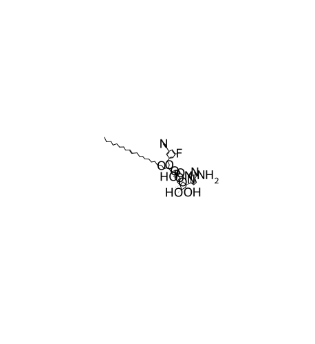 CCCCCCCC/C=C/CCCCCCCCOC[C@H](COP(=O)(O)OC[C@@]1(C)O[C@@H](c2ccc3c(N)ncnn23)[C@H](O)[C@@H]1O)OCc1cc(F)cc(C#N)c1